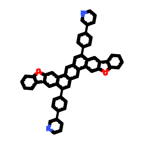 c1cncc(-c2ccc(-c3cc4cc5c(cc(-c6ccc(-c7cccnc7)cc6)c6cc7c(cc65)oc5ccccc57)cc4c4cc5oc6ccccc6c5cc34)cc2)c1